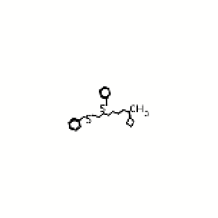 CC(CCCCC(CCSCc1ccccc1)SCc1ccccc1)=C1CCC1